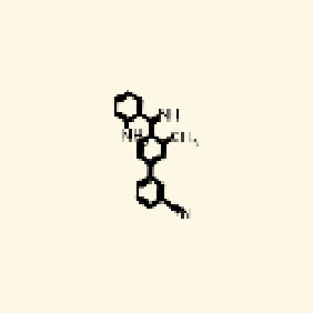 CC1C=C(c2cccc(C#N)c2)C=CC1C(=N)c1ccccc1N